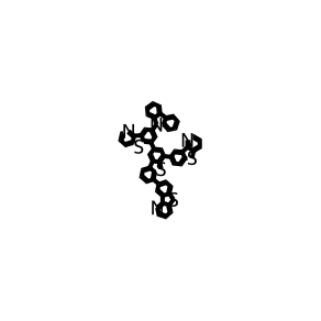 c1cnc2c(c1)sc1ccc(-c3cccc4c3sc3c(-c5ccc6sc7cccnc7c6c5)cc(-c5cc(-n6c7ccccc7c7ccccc76)cc6c5sc5cccnc56)cc34)cc12